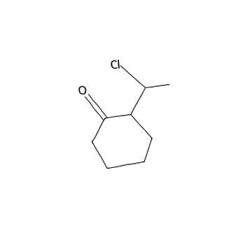 CC(Cl)C1CCCCC1=O